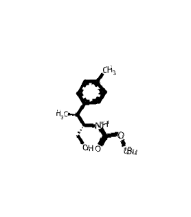 Cc1ccc([C@H](C)[C@@H](CO)NC(=O)OC(C)(C)C)cc1